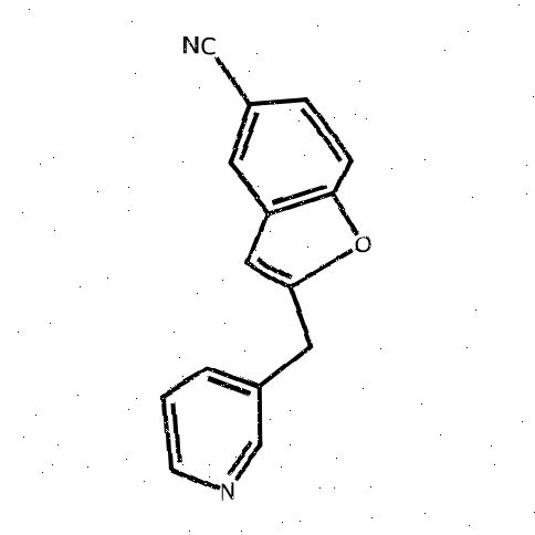 N#Cc1ccc2oc(Cc3cccnc3)cc2c1